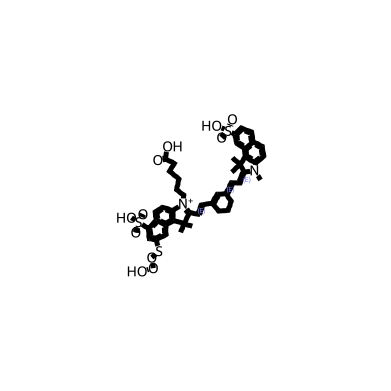 CN1/C(=C/C=C2C=C(/C=C/C3=[N+](CCCCCC(=O)O)c4ccc5c(S(=O)(=O)O)cc(SOOO)cc5c4C3(C)C)CCC/2)C(C)(C)c2c1ccc1ccc(S(=O)(=O)O)cc21